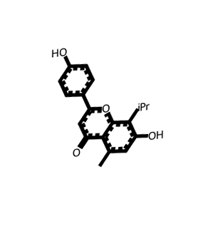 Cc1cc(O)c(C(C)C)c2oc(-c3ccc(O)cc3)cc(=O)c12